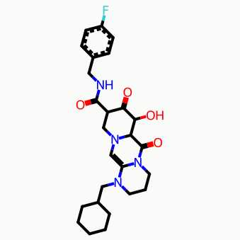 O=C(NCc1ccc(F)cc1)C1CN2C=C3N(CC4CCCCC4)CCCN3C(=O)C2C(O)C1=O